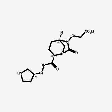 CCOC(=O)CON1C(=O)N2C[C@H]1CC[C@@H]2C(=O)NO[C@H]1CCNC1